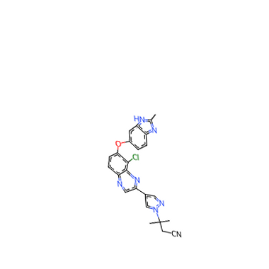 Cc1nc2ccc(Oc3ccc4ncc(-c5cnn(C(C)(C)CC#N)c5)nc4c3Cl)cc2[nH]1